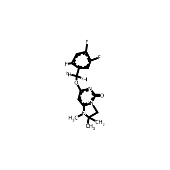 [2H]C([2H])(Oc1cc2n(c(=O)n1)CC(C)(C)N2C)c1cc(F)c(F)cc1F